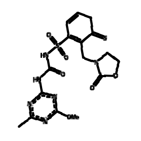 COc1nc(C)nc(NC(=O)NS(=O)(=O)C2=C(CN3CCOC3=O)C(=S)CC=C2)n1